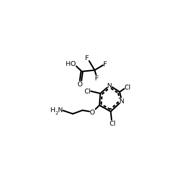 NCCOc1c(Cl)nc(Cl)nc1Cl.O=C(O)C(F)(F)F